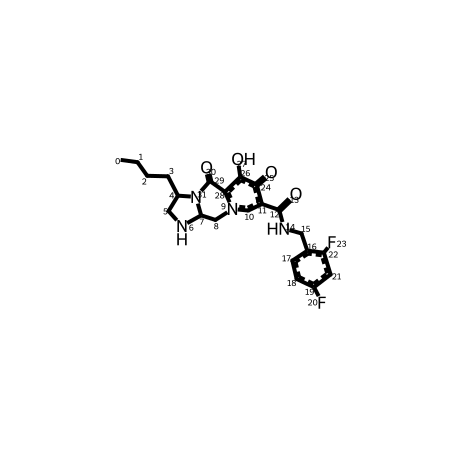 CCCCC1CNC2Cn3cc(C(=O)NCc4ccc(F)cc4F)c(=O)c(O)c3C(=O)N12